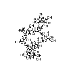 O=C(O)CN(CCN(CCN(CC(=O)O)[C@@H](CC(=O)NCC(CNOCC(O)C(O)C(O)C(O)CO)(CNOCC(O)C(O)C(O)C(O)CO)CNOCC(O)C(O)C(O)C(O)CO)C(=O)O)CP(=O)(O)O)C(CCONCC(CNC(=O)C(O)C(O)C(O)C(O)CO)(CNC(=O)C(O)C(O)C(O)C(O)CO)CNC(=O)C(O)C(O)C(O)C(O)CO)C(=O)O